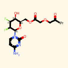 CC(C)C(=O)COCC(=O)OC[C@H]1O[C@@H](n2ccc(N)nc2=O)C(F)[C@@H](F)[C@H]1O